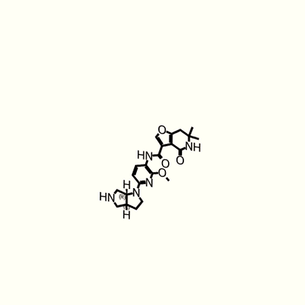 COc1nc(N2CC[C@@H]3CNC[C@@H]32)ccc1NC(=O)c1coc2c1C(=O)NC(C)(C)C2